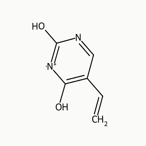 C=CC1=C(O)[N+]=C(O)N=C1